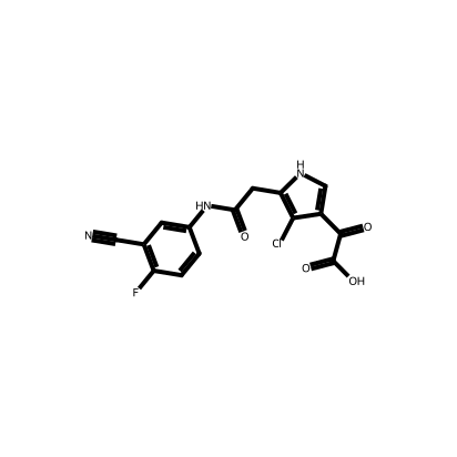 N#Cc1cc(NC(=O)Cc2[nH]cc(C(=O)C(=O)O)c2Cl)ccc1F